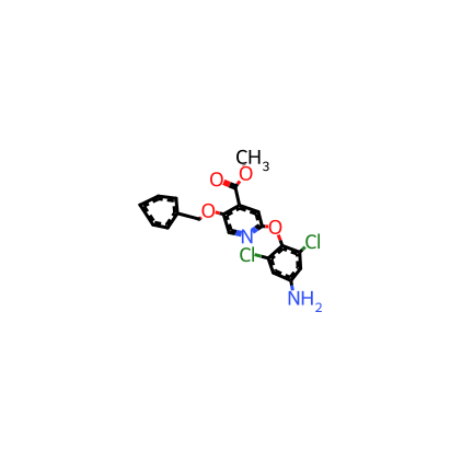 COC(=O)c1cc(Oc2c(Cl)cc(N)cc2Cl)ncc1OCc1ccccc1